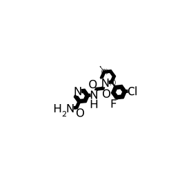 C[C@@H]1CC[C@@H](c2cc(F)cc(Cl)c2)N(C(=O)C(=O)Nc2cncc(C(N)=O)c2)C1